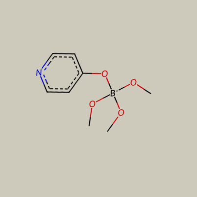 CO[B-](OC)(OC)Oc1ccncc1